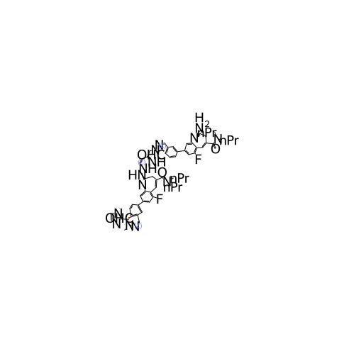 CCCN(CCC)C(=O)C1=Cc2c(F)cc(-c3ccc(C=O)c(/C=N\N(C)CC(=N)/C=C\NNC4=Nc5cc(-c6ccc(C=O)c(/C=N\N(C)Cc7nccn7C)c6)cc(F)c5C=C(C(=O)N(CCC)CCC)C4)c3)cc2N=C(N)C1